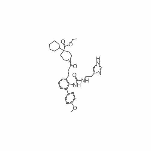 CCOC(=O)C1(C2CCCCC2)CCN(C(=O)CCc2cccc(-c3ccc(OC)cc3)c2NC(=O)NCCc2c[nH]cn2)CC1